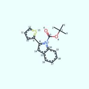 CC(C)(C)OC(=O)n1c(-c2cccs2)cc2ccccc21